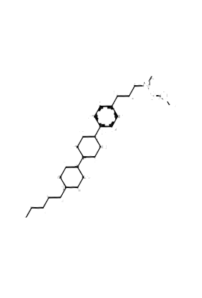 CCCCCC1CCC(C2CCC(c3ccc(CCCN(C)SOC)cc3)CC2)CC1